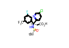 CC(C)(C)[S@@+]([O-])N[C@@](CC(=O)O)(c1cc(F)cc(C(F)(F)F)c1)c1ccc(Cl)cn1